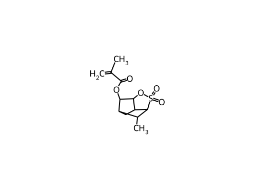 C=C(C)C(=O)OC1C2CC3C1OS(=O)(=O)C3C2C